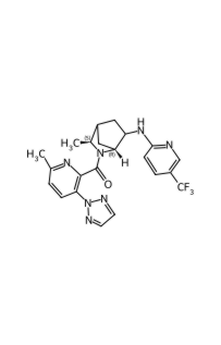 Cc1ccc(-n2nccn2)c(C(=O)N2[C@@H]3CC(CC3Nc3ccc(C(F)(F)F)cn3)[C@@H]2C)n1